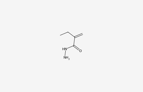 C=C(CC)C(=O)NN